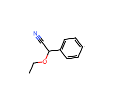 CCOC(C#N)c1cc[c]cc1